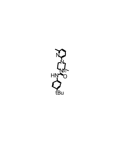 Cc1cccc(N2CCN(C(=O)Nc3ccc(C(C)(C)C)cc3)[C@H](C)C2)n1